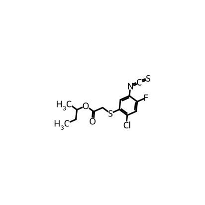 CCC(C)OC(=O)CSc1cc(N=C=S)c(F)cc1Cl